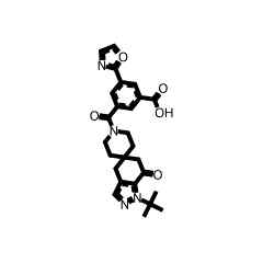 CC(C)(C)n1ncc2c1C(=O)CC1(CCN(C(=O)c3cc(C(=O)O)cc(-c4ncco4)c3)CC1)C2